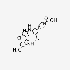 Cc1ccc2c(-c3nc(Nc4cc(C5CC5)cc(N5CCN(C(=O)CO)CC5)c4)ncc3Cl)c[nH]c2c1